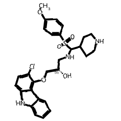 COc1ccc(S(=O)(=O)C(NC[C@H](O)COc2c(Cl)ccc3[nH]c4ccccc4c23)C2CCNCC2)cc1